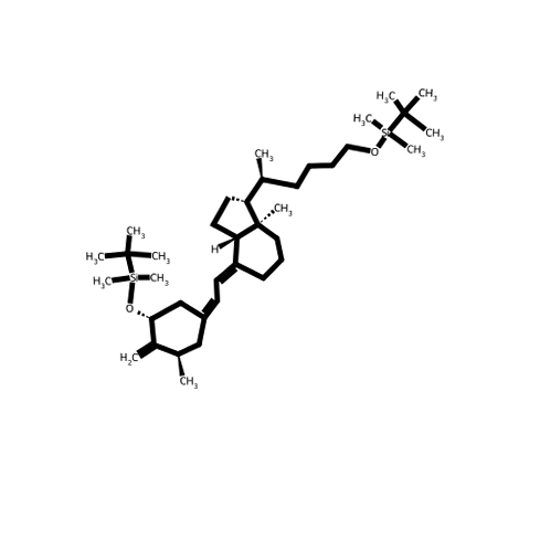 C=C1[C@H](C)C/C(=C/C=C2\CCC[C@]3(C)[C@@H]([C@@H](C)CCCCO[Si](C)(C)C(C)(C)C)CC[C@@H]23)C[C@H]1O[Si](C)(C)C(C)(C)C